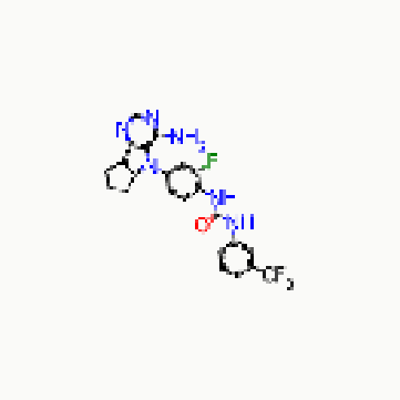 Nc1ncnc2c3c(n(-c4ccc(NC(=O)Nc5cccc(C(F)(F)F)c5)c(F)c4)c12)CCC3